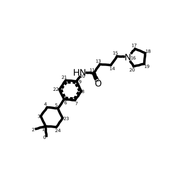 CC1(C)CCC(c2ccc(NC(=O)CCCN3CCCC3)cc2)CC1